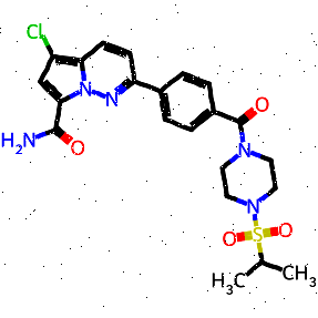 CC(C)S(=O)(=O)N1CCN(C(=O)c2ccc(-c3ccc4c(Cl)cc(C(N)=O)n4n3)cc2)CC1